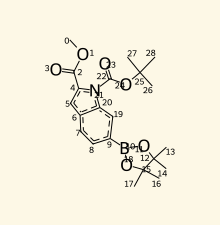 COC(=O)c1cc2ccc(B3OC(C)(C)C(C)(C)O3)cc2n1C(=O)OC(C)(C)C